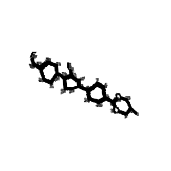 CC1COC(C2CCC(C3C=C(F)C(C4CCC(CF)CC4)CC3)CC2)OC1